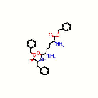 NC(CCC[C@H](N)C(=O)N[C@@H](Cc1ccccc1)C(=O)OCc1ccccc1)C(=O)OCc1ccccc1